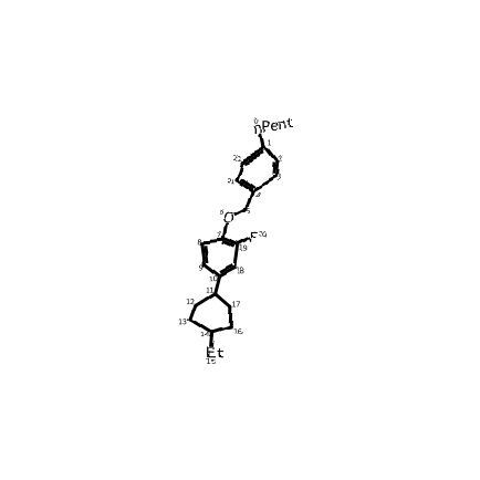 CCCCCc1ccc(COc2ccc(C3CCC(CC)CC3)cc2F)cc1